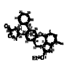 CCOc1nc2c(C)ccc(C(=O)O)c2n1Cc1ccc(-c2ccccc2)c(-c2noc(=O)[nH]2)c1